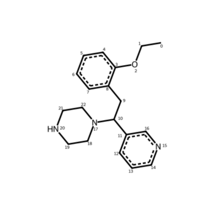 CCOc1ccccc1CC(c1cccnc1)N1CCNCC1